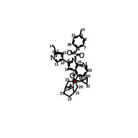 Cc1ccc(S(=O)(=O)n2c(-c3cnn(C)c3)cc3c(N4CC5CCC(C4)N5C(=O)C4CC4)ccnc32)cc1